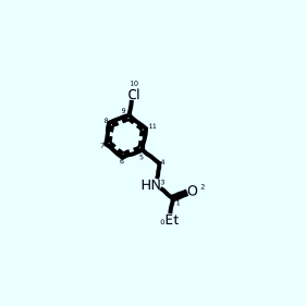 [CH2]CC(=O)NCc1cccc(Cl)c1